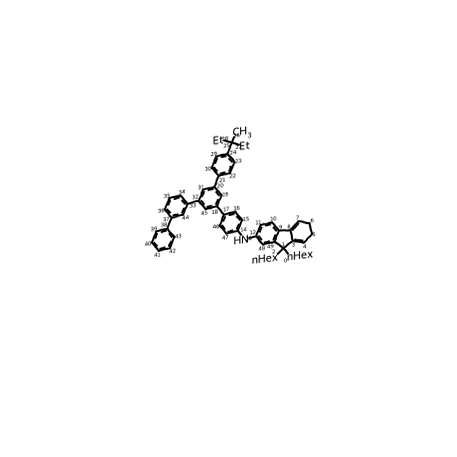 CCCCCCC1(CCCCCC)C2=CCCC=C2c2ccc(Nc3ccc(-c4cc(-c5ccc(C(C)(CC)CC)cc5)cc(-c5cccc(-c6ccccc6)c5)c4)cc3)cc21